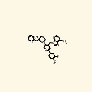 COc1ccc(-c2cc(Cn3cnc4c(N)ncnc43)c(N3CCC[C@](N)(Cc4ccccn4)C3)cn2)cc1F